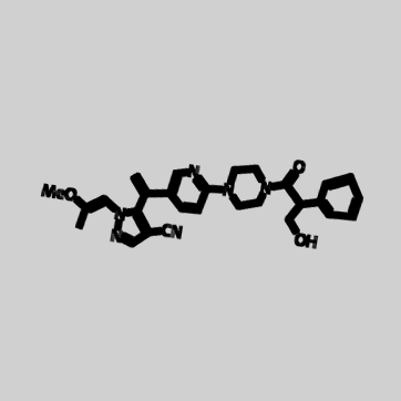 C=C(c1ccc(N2CCN(C(=O)C(CO)c3ccccc3)CC2)nc1)c1c(C#N)cnn1/C=C(\C)OC